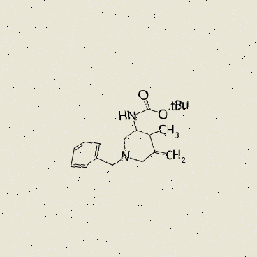 C=C1CN(Cc2ccccc2)CC(NC(=O)OC(C)(C)C)C1C